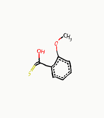 COc1ccccc1C(O)=S